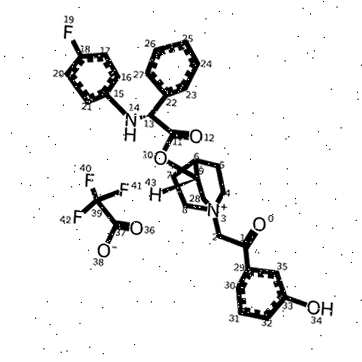 O=C(C[N+]12CCC(CC1)[C@@H](OC(=O)[C@H](Nc1ccc(F)cc1)c1ccccc1)C2)c1cccc(O)c1.O=C([O-])C(F)(F)F